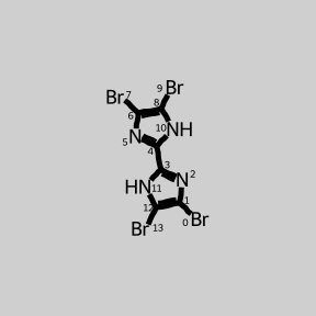 Brc1nc(-c2nc(Br)c(Br)[nH]2)[nH]c1Br